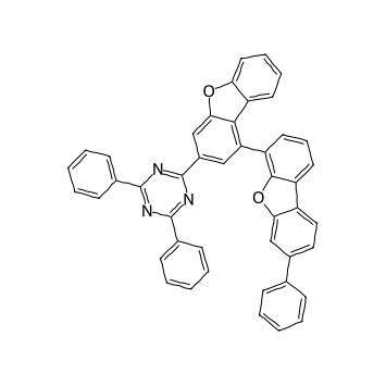 c1ccc(-c2ccc3c(c2)oc2c(-c4cc(-c5nc(-c6ccccc6)nc(-c6ccccc6)n5)cc5oc6ccccc6c45)cccc23)cc1